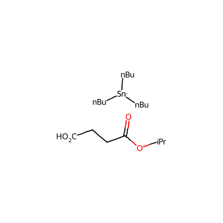 CC(C)OC(=O)CCC(=O)O.CCC[CH2][Sn]([CH2]CCC)[CH2]CCC